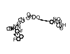 C#Cc1c(F)ccc2cccc(-c3ncc4c(N5CC6CCC(C5)N6)nc(OC[C@@]56CCCN5[C@H](COC(=O)N5CCC(OCC#CC#Cc7ccc8c(c7)n(C)c(=O)n8C7CCC(=O)NC7=O)CC5)CC6)nc4c3F)c12